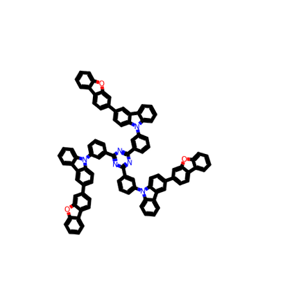 c1cc(-c2nc(-c3cccc(-n4c5ccccc5c5cc(-c6ccc7c(c6)oc6ccccc67)ccc54)c3)nc(-c3cccc(-n4c5ccccc5c5cc(-c6ccc7c(c6)oc6ccccc67)ccc54)c3)n2)cc(-n2c3ccccc3c3cc(-c4ccc5c(c4)oc4ccccc45)ccc32)c1